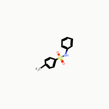 O=S(=O)(Nc1[c]cccc1)c1ccc(C(F)(F)F)cc1